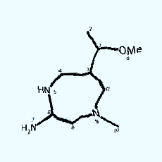 COC(C)C1CNC(N)CN(C)C1